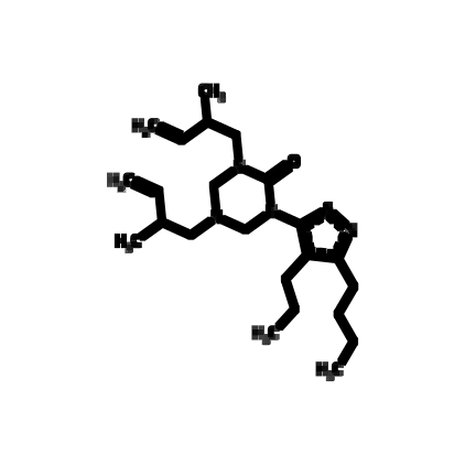 C=CC(C)CN1CN(CC(C)C=C)C(=O)N(c2snc(CCCC)c2CCC)C1